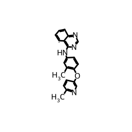 Cc1ccc(Oc2ccc(Nc3ncnc4ccc[c]c34)cc2C)cn1